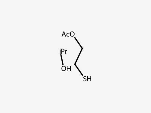 CC(=O)OCCS.CC(C)O